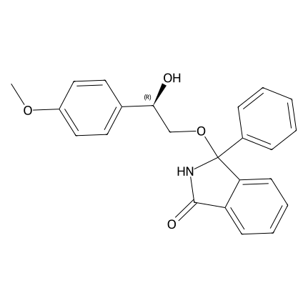 COc1ccc([C@@H](O)COC2(c3ccccc3)NC(=O)c3ccccc32)cc1